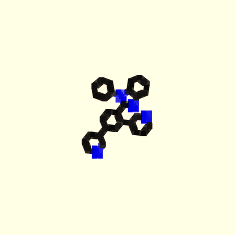 c1ccc(-n2c(-c3ccc(-c4cccnc4)cc3-c3cccnc3)nc3ccccc32)cc1